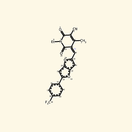 CCN1C(=O)C(C#N)=C(C)/C(=C/c2cc3oc(-c4ccc(C(F)(F)F)cc4)cc3o2)C1=O